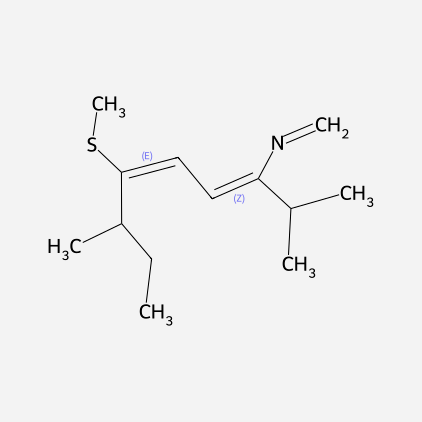 C=N/C(=C\C=C(\SC)C(C)CC)C(C)C